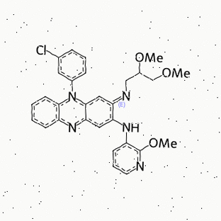 COCC(C/N=c1\cc2n(-c3cccc(Cl)c3)c3ccccc3nc-2cc1Nc1cccnc1OC)OC